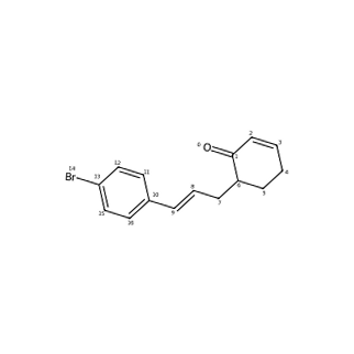 O=C1C=CCCC1CC=Cc1ccc(Br)cc1